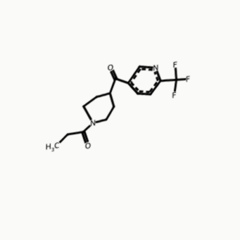 CCC(=O)N1CCC(C(=O)c2ccc(C(F)(F)F)nc2)CC1